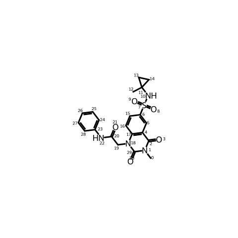 Cn1c(=O)c2cc(S(=O)(=O)NC3(C)CC3)ccc2n(CC(=O)Nc2ccccc2)c1=O